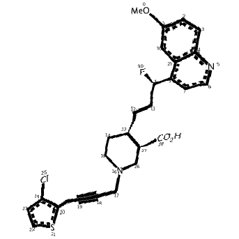 COc1ccc2nccc([C@H](F)CC[C@@H]3CCN(CC#Cc4sccc4Cl)C[C@@H]3C(=O)O)c2c1